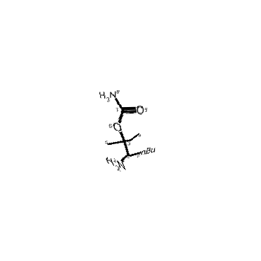 CCCCC(N)C(C)(C)OC(N)=O